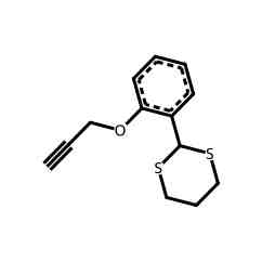 C#CCOc1ccccc1C1SCCCS1